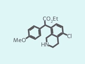 CCOC(=O)C(c1ccc(OC)cc1)c1ccc(Cl)c2c1CNCC2